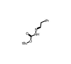 CC(C)C/C=N/NC(=O)OC(C)(C)C